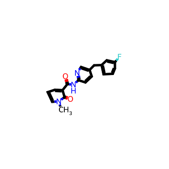 Cn1cccc(C(=O)Nc2ccc(Cc3cccc(F)c3)cn2)c1=O